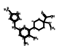 COC1(C(=O)O)CCC(c2nc(Nc3cc(C)[nH]n3)cc(N)c2N)CC1